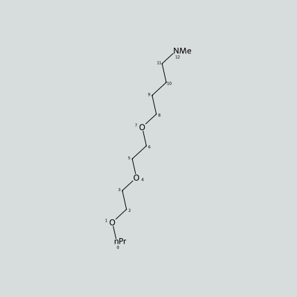 CCCOCCOCCOCCCCNC